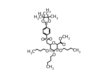 CCCCO[C@@H]1[C@H](OCCCC)C(CS(=O)(=O)c2ccc(B3OC(C)(C)C(C)(C)O3)cc2)OC(C(=O)OC)[C@H]1OCCCC